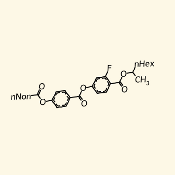 CCCCCCCCCC(=O)Oc1ccc(C(=O)Oc2ccc(C(=O)OC(C)CCCCCC)c(F)c2)cc1